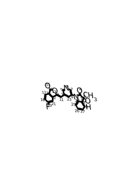 CC1(O)C(=O)N(c2cncc(C=C3OC(=O)c4ccc(F)cc43)c2)c2ccccc21